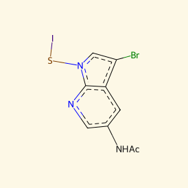 CC(=O)Nc1cnc2c(c1)c(Br)cn2SI